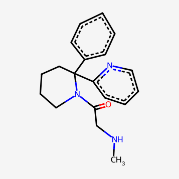 CNCC(=O)N1CCCCC1(c1ccccc1)c1ccccn1